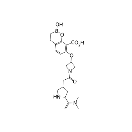 C=C(C1C[C@@H](CC(=O)N2CC(Oc3ccc4c(c3C(=O)O)OB(O)CC4)C2)CN1)N(C)C